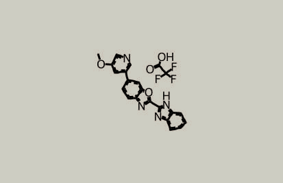 COc1cncc(-c2ccc3nc(-c4nc5ccccc5[nH]4)oc3c2)c1.O=C(O)C(F)(F)F